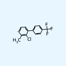 Cc1[c]ccc(-c2ccc(C(F)(F)F)cc2)c1Cl